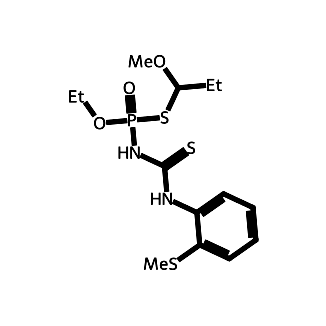 CCOP(=O)(NC(=S)Nc1ccccc1SC)SC(CC)OC